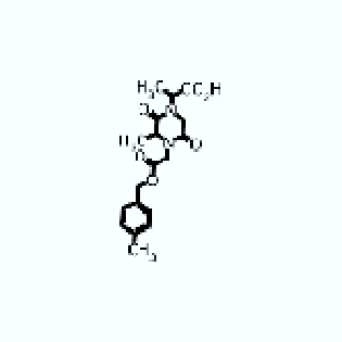 Cc1ccc(COC(=O)CN2C(=O)CN(C(C)C(=O)O)C(=O)C2C)cc1